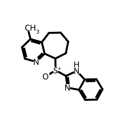 Cc1ccnc2c1CCCCC2[S+]([O-])c1nc2ccccc2[nH]1